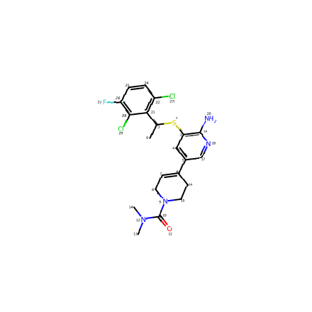 CC(Sc1cc(C2=CCN(C(=O)N(C)C)CC2)cnc1N)c1c(Cl)ccc(F)c1Cl